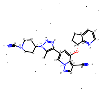 Cc1c(-c2cc(O[C@@H]3CCc4cccnc43)c3c(C#N)cnn3c2)nnn1C1CCN(C#N)CC1